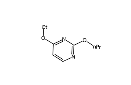 CCCOc1nccc(OCC)n1